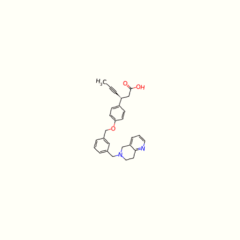 CC#C[C@@H](CC(=O)O)c1ccc(OCc2cccc(CN3CCc4ncccc4C3)c2)cc1